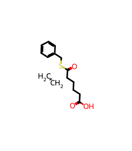 C=C.O=C(O)CCCCC(=O)SCc1ccccc1